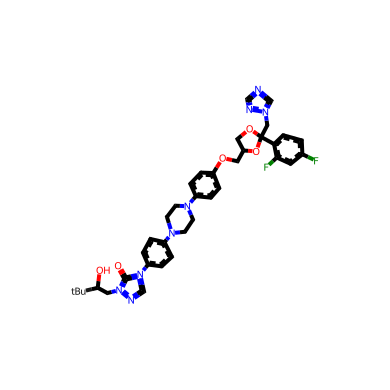 CC(C)(C)C(O)Cn1ncn(-c2ccc(N3CCN(c4ccc(OCC5COC(Cn6cncn6)(c6ccc(F)cc6F)O5)cc4)CC3)cc2)c1=O